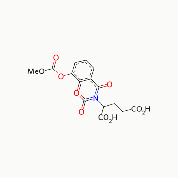 COC(=O)Oc1cccc2c(=O)n(C(CCC(=O)O)C(=O)O)c(=O)oc12